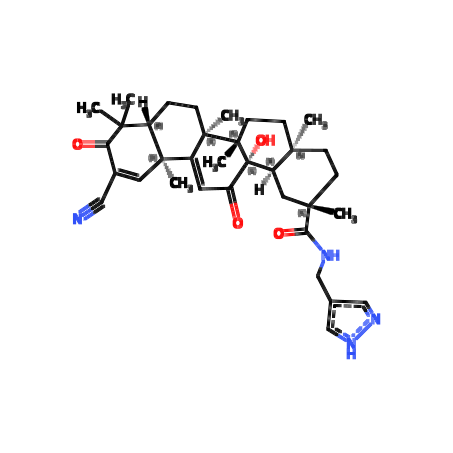 CC1(C)C(=O)C(C#N)=C[C@]2(C)C3=CC(=O)[C@]4(O)[C@@H]5C[C@@](C)(C(=O)NCc6cn[nH]c6)CC[C@]5(C)CC[C@@]4(C)[C@]3(C)CC[C@@H]12